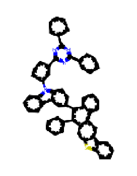 c1ccc(-c2nc(-c3ccccc3)nc(-c3cccc(-n4c5ccccc5c5cc(-c6c(-c7ccccc7)c7cc8sc9ccccc9c8cc7c7ccccc67)ccc54)c3)n2)cc1